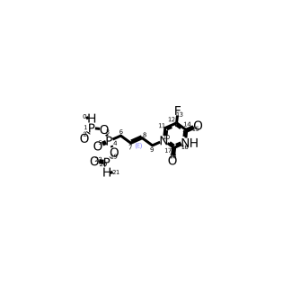 C[PH](=O)OP(=O)(C/C=C/Cn1cc(F)c(=O)[nH]c1=O)O[PH](C)=O